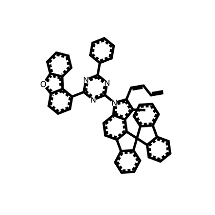 C=C/C=C\c1c(C)c2c3c(ccc2n1-c1nc(-c2ccccc2)nc(-c2cccc4oc5ccccc5c24)n1)-c1ccccc1C31c2ccccc2-c2ccccc21